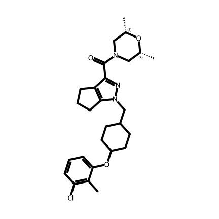 Cc1c(Cl)cccc1OC1CCC(Cn2nc(C(=O)N3C[C@@H](C)O[C@@H](C)C3)c3c2CCC3)CC1